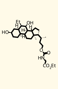 CCOC(=O)CNC(=O)OCC[C@@H](C)[C@H]1CC[C@H]2[C@@H]3[C@H](O)[C@H](CC)[C@@H]4C[C@H](O)CC[C@]4(C)[C@H]3CC[C@]12C